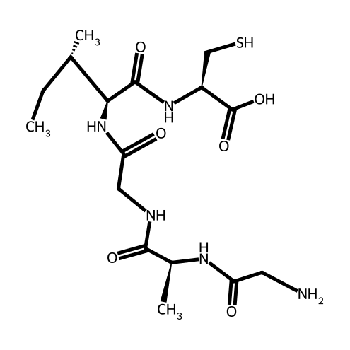 CC[C@H](C)[C@H](NC(=O)CNC(=O)[C@H](C)NC(=O)CN)C(=O)N[C@@H](CS)C(=O)O